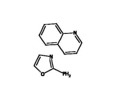 Pc1ncco1.c1ccc2ncccc2c1